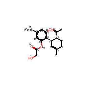 C=C(C)[C@@H]1CCC(C)=C[C@H]1c1c(O)cc(CCCCC)cc1OC(=O)CO